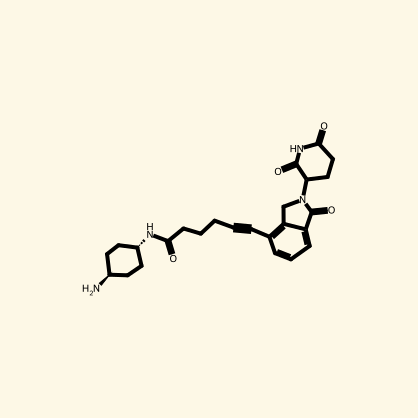 N[C@H]1CC[C@H](NC(=O)CCCC#Cc2cccc3c2CN(C2CCC(=O)NC2=O)C3=O)CC1